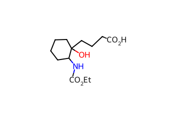 CCOC(=O)NC1CCCCC1(O)CCCC(=O)O